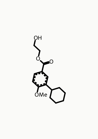 COc1ccc(C(=O)OCCO)cc1C1CCCCC1